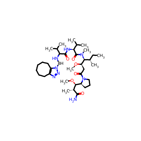 CC[C@H](C)[C@@H]([C@@H](CC(=O)N1CCC[C@H]1[C@H](OC)[C@@H](C)C(N)=O)OC)N(C)C(=O)[C@@H](NC(=O)C(NBn1nnc2c1CCCCCC2)C(C)C)C(C)C